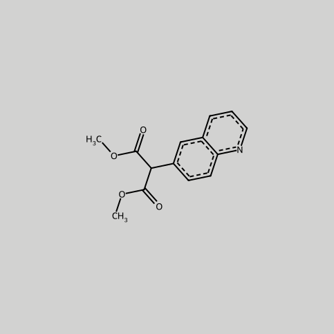 COC(=O)C(C(=O)OC)c1ccc2ncccc2c1